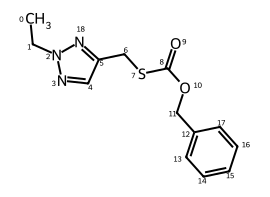 CCn1ncc(CSC(=O)OCc2ccccc2)n1